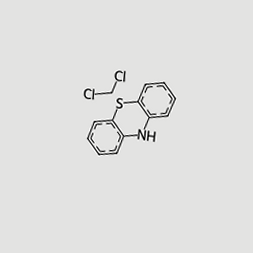 ClCCl.c1ccc2c(c1)Nc1ccccc1S2